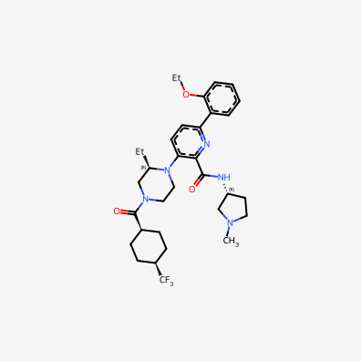 CCOc1ccccc1-c1ccc(N2CCN(C(=O)[C@H]3CC[C@@H](C(F)(F)F)CC3)C[C@H]2CC)c(C(=O)N[C@@H]2CCN(C)C2)n1